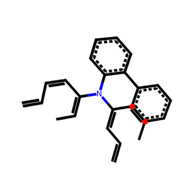 C=C/C=C\C(=C/C)N(C(/C=C\C)=C/C=C)c1ccccc1-c1ccccc1